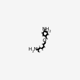 C\C(N)=C/C=C\C=C\OCc1ccc(N)cc1